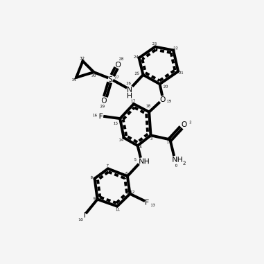 NC(=O)c1c(Nc2ccc(I)cc2F)cc(F)cc1Oc1ccccc1NS(=O)(=O)C1CC1